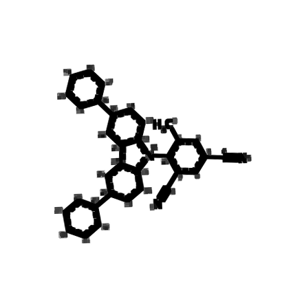 Cc1cc(C#N)cc(C#N)c1-n1c2ccc(-c3ccccc3)cc2c2cc(-c3ccccc3)ccc21